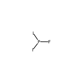 FP(I)I